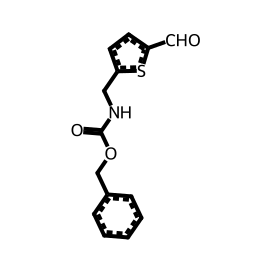 O=Cc1ccc(CNC(=O)OCc2ccccc2)s1